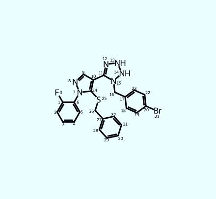 Fc1ccccc1-n1ncc(C2=NNNN2Cc2ccc(Br)cc2)c1SCc1ccccc1